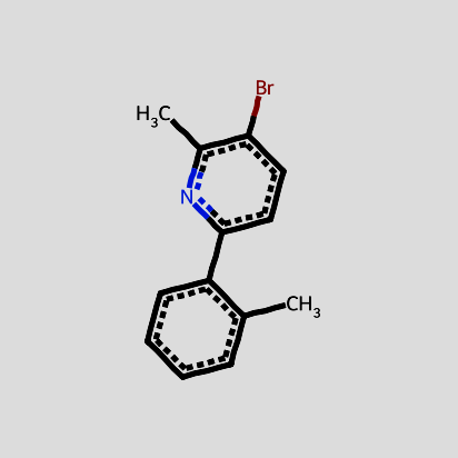 Cc1ccccc1-c1ccc(Br)c(C)n1